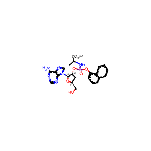 CC(NP(=O)(Oc1cccc2ccccc12)O[C@@H]1C[C@@H](CO)O[C@H]1n1cnc2c(N)ncnc21)C(=O)O